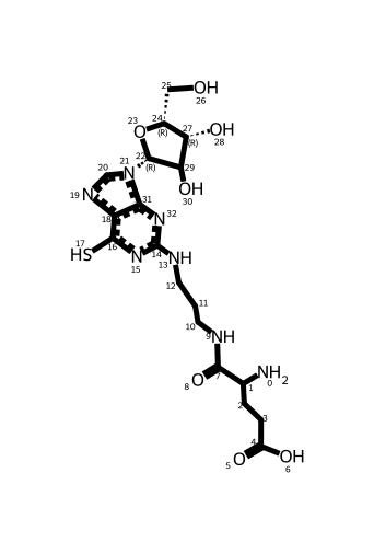 NC(CCC(=O)O)C(=O)NCCCNc1nc(S)c2ncn([C@@H]3O[C@H](CO)[C@H](O)C3O)c2n1